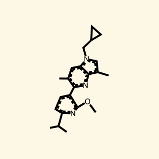 COc1nc(C(C)C)ccc1-c1nc2c(C)cn(CC3CC3)c2cc1C